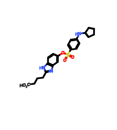 O=C(O)CCCc1nc2cc(OS(=O)(=O)c3ccc(NC4CCCC4)cc3)ccc2[nH]1